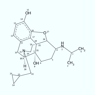 CC(C)NC1CC[C@@]2(O)[C@H]3Cc4ccc(O)c5c4[C@@]2(CCN3CC2CC2)C1O5